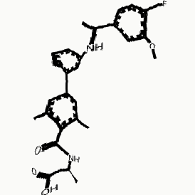 COc1cc(C(C)Nc2cccc(-c3cc(C)c(C(=O)N[C@@H](C)C(=O)O)c(C)c3)c2)ccc1F